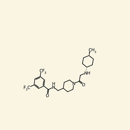 C[C@H]1CC[C@H](NCC(=O)N2CCC(CNC(=O)c3cc(C(F)(F)F)cc(C(F)(F)F)c3)CC2)CC1